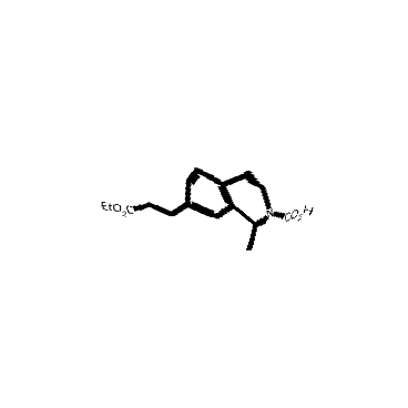 CCOC(=O)CCc1ccc2c(c1)C(C)N(C(=O)O)CC2